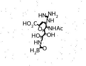 BC(=O)NC[C@@H](O)[C@@H](O)[C@@H]1OC(C(=O)O)=C[C@H](NC(=N)N)[C@H]1NC(C)=O